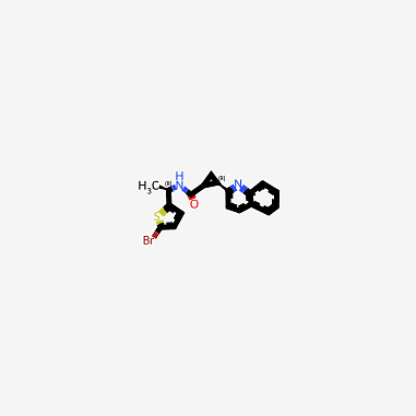 C[C@@H](NC(=O)C1C[C@H]1c1ccc2ccccc2n1)c1ccc(Br)s1